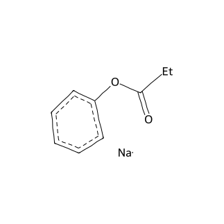 CCC(=O)Oc1ccccc1.[Na]